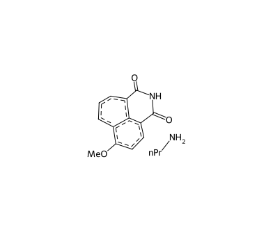 CCCN.COc1ccc2c3c(cccc13)C(=O)NC2=O